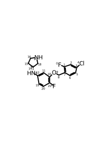 Fc1cc(Cl)ccc1COc1cc(N[C@@H]2CCNC2)ccc1F